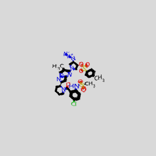 Cc1ccc(S(=O)(=O)O[C@@H]2CN(c3nc4cc([C@@H]5CCCCN5C(=O)c5cc(Cl)ccc5NS(C)(=O)=O)nn4cc3C)C[C@H]2N=[N+]=[N-])cc1